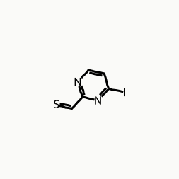 S=Cc1nccc(I)n1